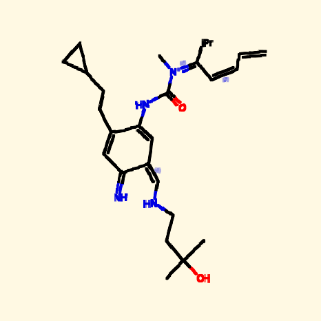 C=C/C=C\C(C(C)C)=[N+](\C)C(=O)NC1=C/C(=C/NCCC(C)(C)O)C(=N)C=C1CCC1CC1